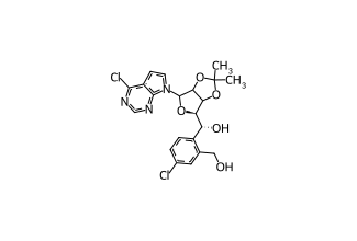 CC1(C)OC2C(O1)[C@@H]([C@H](O)c1ccc(Cl)cc1CO)OC2n1ccc2c(Cl)ncnc21